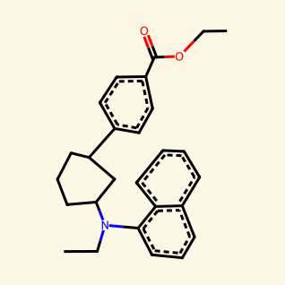 CCOC(=O)c1ccc(C2CCCC(N(CC)c3cccc4ccccc34)C2)cc1